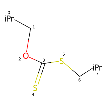 CC(C)COC(=S)SCC(C)C